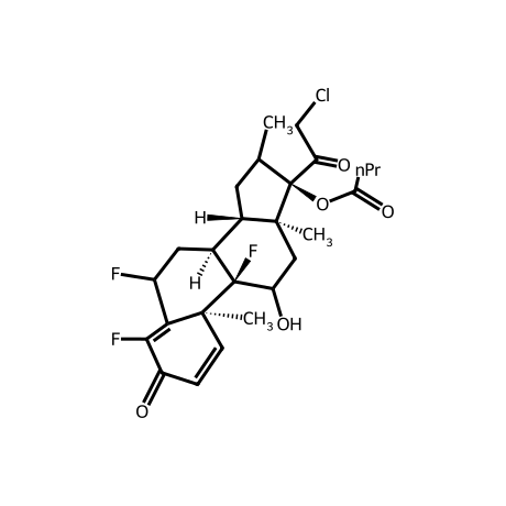 CCCC(=O)O[C@]1(C(=O)CCl)C(C)C[C@H]2[C@@H]3CC(F)C4=C(F)C(=O)C=C[C@]4(C)[C@@]3(F)C(O)C[C@@]21C